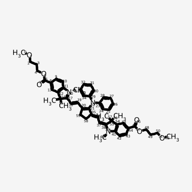 COCCCOC(=O)c1ccc2c(c1)C(C)(C)C(/C=C/C1=C(N(c3ccccc3)c3ccccc3)C(=C/C=C3/N(C)c4ccc(C(=O)OCCCOC)cc4C3(C)C)/CC1)=[N+]2C